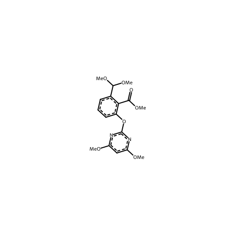 COC(=O)c1c(Oc2nc(OC)cc(OC)n2)cccc1C(OC)OC